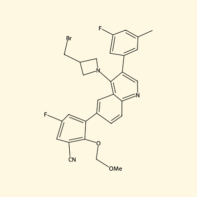 COCOc1c(C#N)cc(F)cc1-c1ccc2ncc(-c3cc(C)cc(F)c3)c(N3CC(CBr)C3)c2c1